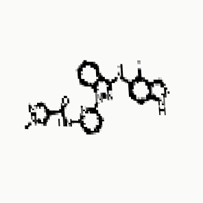 Cn1cc(C(=O)Nc2cccc(-n3nc(Nc4ccc5[nH]ncc5c4F)c4ccccc43)n2)cn1